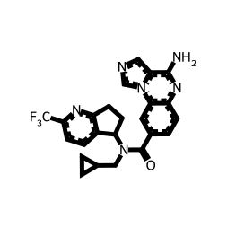 Nc1nc2ccc(C(=O)N(CC3CC3)C3CCc4nc(C(F)(F)F)ccc43)cc2n2cncc12